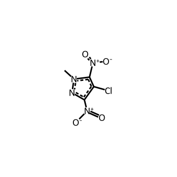 Cn1nc([N+](=O)[O-])c(Cl)c1[N+](=O)[O-]